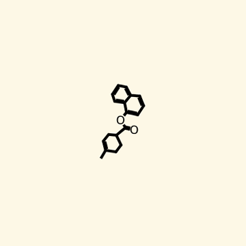 CC1=CCC(C(=O)Oc2cccc3ccccc23)CC1